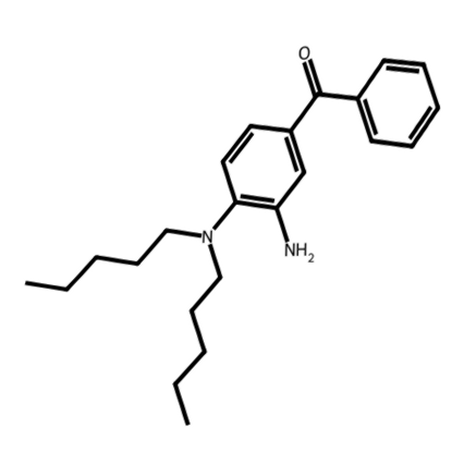 CCCCCN(CCCCC)c1ccc(C(=O)c2ccccc2)cc1N